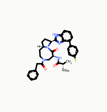 CN[C@@H](C)C(=O)N[C@H]1CN(C(=O)Cc2ccccc2)CC[C@H]2CC[C@@H](c3nc4c(-c5ccc(F)cc5)cccc4[nH]3)N2C1=O